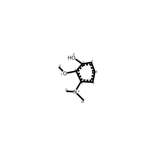 COc1c(O)cccc1N(C)C